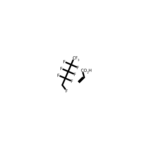 C=CC(=O)O.FCC(F)(F)C(F)(F)C(F)(F)C(F)(F)F